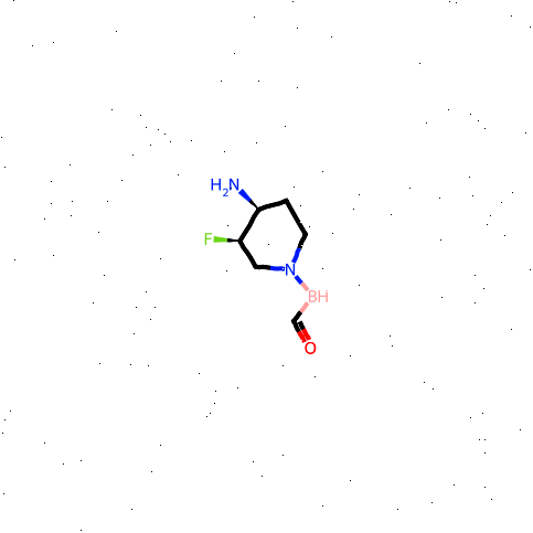 N[C@H]1CCN(BC=O)C[C@H]1F